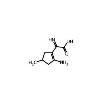 CC1CC(N)=C(C(=N)C(=O)O)C1